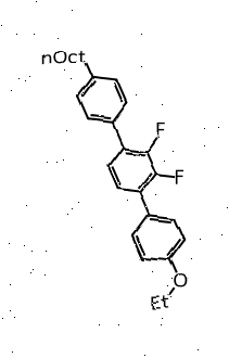 CCCCCCCCc1ccc(-c2ccc(-c3ccc(OCC)cc3)c(F)c2F)cc1